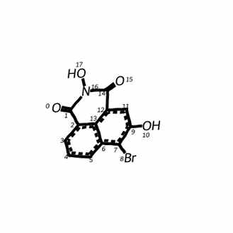 O=C1c2cccc3c(Br)c(O)cc(c23)C(=O)N1O